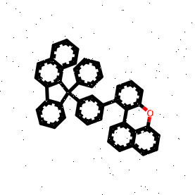 c1ccc(C2(c3cccc(-c4cccc5c4-c4cccc6cccc(c46)O5)c3)c3ccccc3-c3ccc4ccccc4c32)cc1